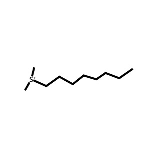 CCCCCCCC[S+](C)C